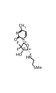 CSCCNC[C@H]1O[C@@H](n2ccc(C)nc2=O)C(F)(F)[C@@H]1O